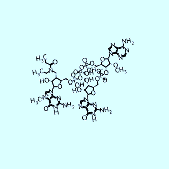 CCC(=O)N(CC)C[C@H]1[C@@H](O)[C@H](n2c[n+](C)c3c(=O)[nH]c(N)nc32)O[C@@H]1COP(=O)(O)OP(=O)(O)OP(=O)(O)OC[C@H]1O[C@@H](n2cnc3c(N)ncnc32)[C@H](OC)[C@@H]1OP(=O)([O-])OC[C@H]1O[C@@H](n2cnc3c(=O)[nH]c(N)nc32)[C@H](O)[C@@H]1O